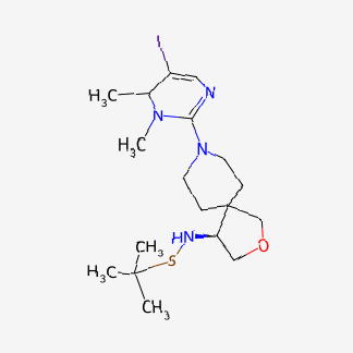 CC1C(I)=CN=C(N2CCC3(CC2)COC[C@H]3NSC(C)(C)C)N1C